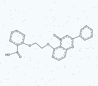 O=C(O)c1ccccc1OCCOc1cccc2oc(-c3ccccc3)cc(=O)c12